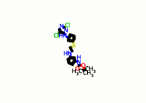 CC(C)(C)OC(=O)Nc1cccc(NCCSc2cccc(Nc3nc(Cl)ncc3Cl)c2)c1